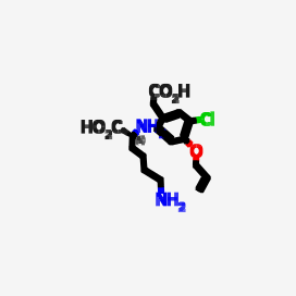 C=CCOc1ccc(CC(=O)O)cc1Cl.NCCCC[C@H](N)C(=O)O